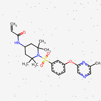 C=CC(=O)NC1CC(C)(C)N(S(=O)(=O)c2cccc(Oc3cncc(C)n3)c2)C(C)(C)C1